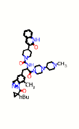 CCCCC1(C(=O)n2ncc3cc(CC(NC(=O)N4CCC(c5cc6ccccc6[nH]c5=O)CC4)C(=O)N4CCN(C5CCN(C)CC5)CC4)cc(C)c32)CC1